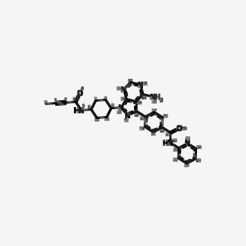 CC#CC(=O)NC1CCC(n2nc(-c3ccc(C(=O)Nc4ccccn4)cc3)c3c(N)ncnc32)CC1